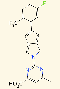 Cc1cc(C(=O)O)nc(N2C=C3C=C(C4C=C(F)CCC4C(F)(F)F)C=C3C2)n1